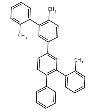 Cc1ccccc1-c1cc(-c2ccc(-c3ccccc3)c(-c3ccccc3C)c2)ccc1C